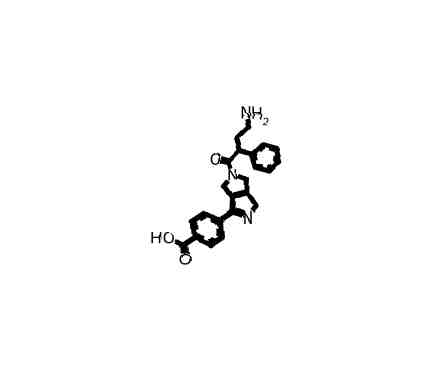 NCCC(C(=O)N1CC2=C(C1)C(c1ccc(C(=O)O)cc1)=NC2)c1ccccc1